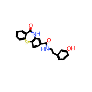 O=C(NCCc1cccc(O)c1)c1ccc2c(c1)NC(=O)c1ccccc1S2